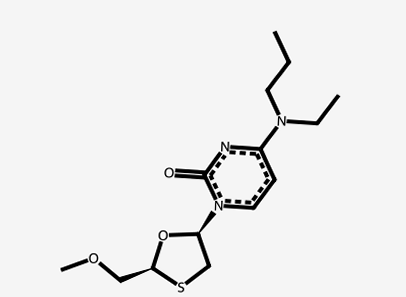 CCCN(CC)c1ccn([C@H]2CS[C@@H](COC)O2)c(=O)n1